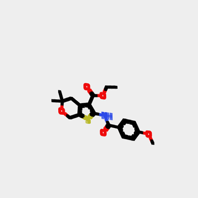 CCOC(=O)c1c(NC(=O)c2ccc(OC)cc2)sc2c1CC(C)(C)OC2